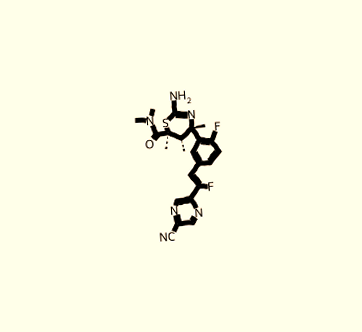 C[C@@H]1[C@@](C)(C(=O)N(C)C)SC(N)=N[C@]1(C)c1cc(/C=C(\F)c2cnc(C#N)cn2)ccc1F